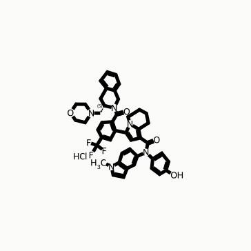 Cl.Cn1ccc2cc(N(C(=O)c3cc(-c4cc(C(F)(F)F)ccc4C(=O)N4Cc5ccccc5C[C@H]4CN4CCOCC4)n4c3CCCC4)c3ccc(O)cc3)ccc21